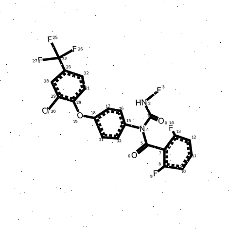 O=C(NF)N(C(=O)c1c(F)cccc1F)c1ccc(Oc2ccc(C(F)(F)F)cc2Cl)cc1